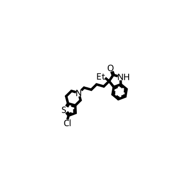 CCC1(CCCCN2CCc3sc(Cl)cc3C2)C(=O)Nc2ccccc21